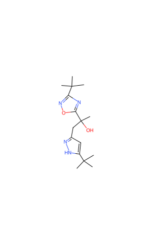 CC(C)(C)c1noc(C(C)(O)Cc2cc(C(C)(C)C)[nH]n2)n1